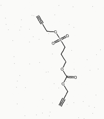 C#CCOC(=O)OCCCS(=O)(=O)OCC#C